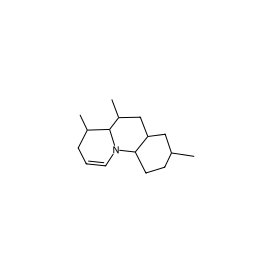 CC1CCC2C(C1)CC(C)C1C(C)CC=CN21